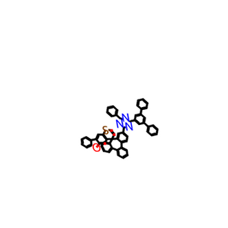 c1ccc(-c2cc(-c3ccccc3)cc(-c3nc(-c4ccccc4)nc(-c4ccc5c(c4)C4(c6ccccc6Sc6cc7c(cc64)oc4ccccc47)c4ccccc4-c4ccccc4-5)n3)c2)cc1